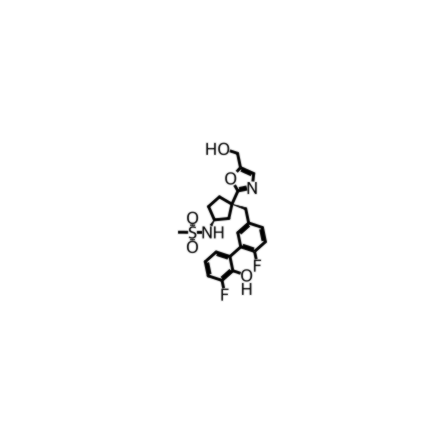 CS(=O)(=O)N[C@H]1CC[C@](Cc2ccc(F)c(-c3cccc(F)c3O)c2)(c2ncc(CO)o2)C1